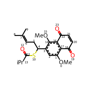 COc1cc(C(CC=C(C)C)SC(=O)C(C)C)c(OC)c2c1C(=O)C=CC2=O